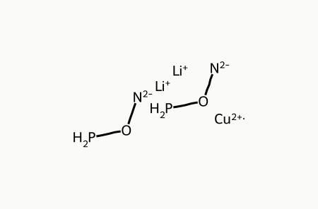 [Cu+2].[Li+].[Li+].[N-2]OP.[N-2]OP